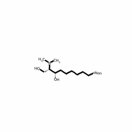 CCCCCCCCCCCCCCC[C@H](O)[C@H](CO)N(C)C